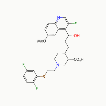 COc1ccc2ncc(F)c([C@H](O)CCC3CCN(CCSc4cc(F)ccc4F)CC3C(=O)O)c2c1